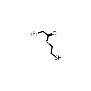 CCCCC(=O)SCCS